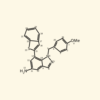 COc1ccc(Cn2ncc3cc(N)cc(-c4cc5ccccc5s4)c32)cc1